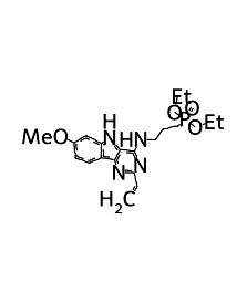 C=Cc1nc(NCCCP(=O)(OCC)OCC)c2[nH]c3cc(OC)ccc3c2n1